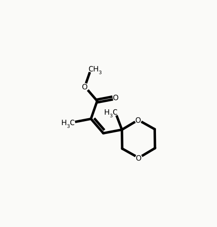 COC(=O)C(C)=CC1(C)COCCO1